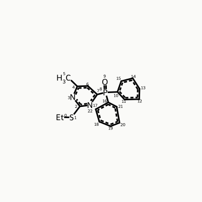 CCSc1nc(C)cc(P(=O)(c2ccccc2)c2ccccc2)n1